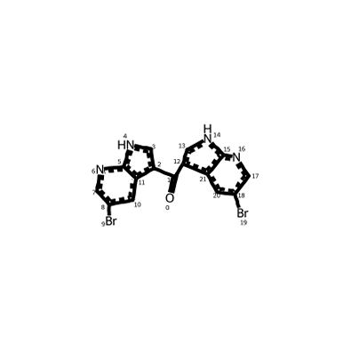 O=C(c1c[nH]c2ncc(Br)cc12)c1c[nH]c2ncc(Br)cc12